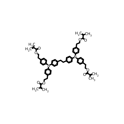 C=C(C)C(=O)OCCc1ccc(N(c2ccc(CCOC(=O)C(=C)C)cc2)c2ccc(CCc3ccc(N(c4ccc(CCOC(=O)C(=C)C)cc4)c4ccc(CCOC(=O)C(=C)C)cc4)cc3)cc2)cc1